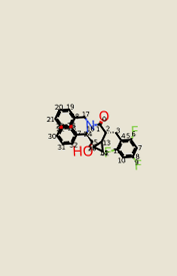 O=C([C@H](Cc1c(F)cc(F)cc1F)C1CC1)N(Cc1ccccc1)[C@@H](CO)c1ccccc1